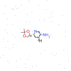 [2H]c1cc([C@@H]2COC(C)(C)O2)ncc1N